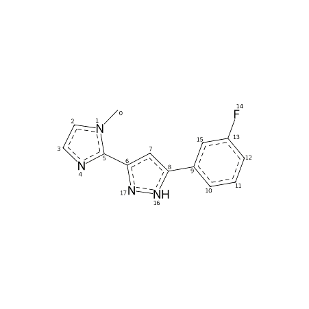 Cn1ccnc1-c1cc(-c2cccc(F)c2)[nH]n1